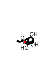 C=CC(=O)OC1C2CC3C(O)C(CC1C3O)C2O